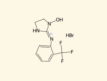 Br.ON1CCN/C1=N\c1ccccc1C(F)(F)F